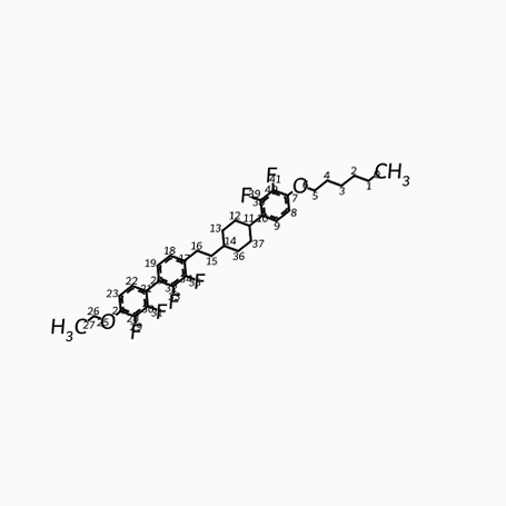 CCCCCCOc1ccc(C2CCC(CCc3ccc(-c4ccc(OCC)c(F)c4F)c(F)c3F)CC2)c(F)c1F